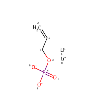 C=CCOP(=O)([O-])[O-].[Li+].[Li+]